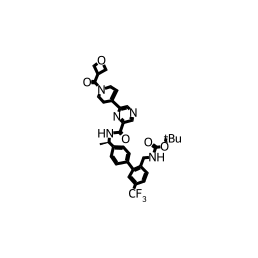 C[C@@H](NC(=O)c1cncc(C2=CCN(C(=O)C3COC3)CC2)n1)c1ccc(-c2cc(C(F)(F)F)ccc2CNC(=O)OC(C)(C)C)cc1